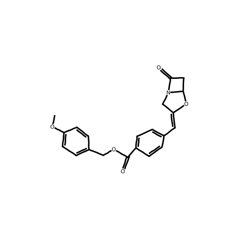 COc1ccc(COC(=O)c2ccc(C=C3CN4C(=O)CC4O3)cc2)cc1